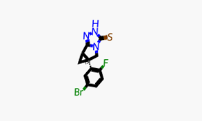 Fc1ccc(Br)cc1[C@]12CC1c1n[nH]c(=S)n1C2